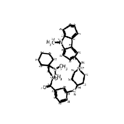 CN(C)C1(CNC(=O)c2cccc(OC3CCN(Cc4ccc5c(c4)c4ccccc4n5C)CC3)c2)CCCCC1